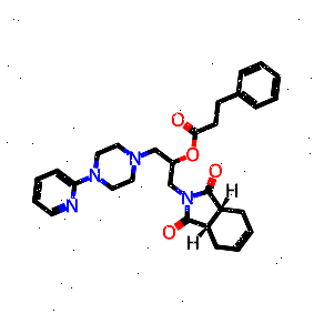 O=C(CCc1ccccc1)OC(CN1CCN(c2ccccn2)CC1)CN1C(=O)[C@H]2CC=CC[C@H]2C1=O